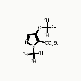 [2H]C([2H])([2H])Oc1cnn(C([2H])([2H])[2H])c1C(=O)OCC